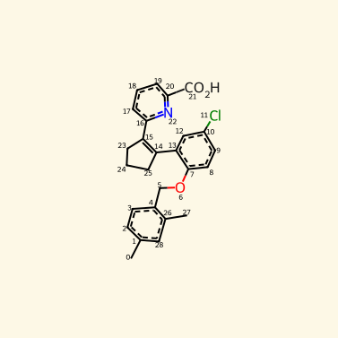 Cc1ccc(COc2ccc(Cl)cc2C2=C(c3cccc(C(=O)O)n3)CCC2)c(C)c1